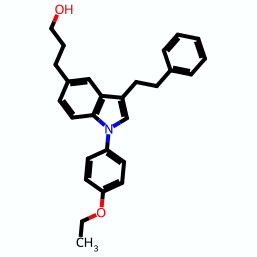 CCOc1ccc(-n2cc(CCc3ccccc3)c3cc(CCCO)ccc32)cc1